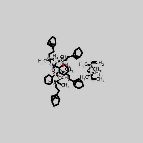 C=C[Si](C)(C)O[Si](C)(C)C=C.C[Si](C)(CCC1=CC2CCC1C2)O[Si](O[Si](C)(C)CCC1=CC2CCC1C2)(O[Si](O[Si](C)(C)CCC1=CC2CCC1C2)(O[Si](C)(C)CCC1=CC2CCC1C2)C1CCCCC1)C1CCCCC1